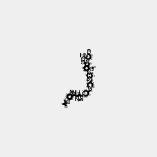 COc1c(N2CCN(CC3(F)CCN(CC4CCN(c5cc(-c6[nH]nc7ccc(OC8(C)CC8)cc67)ncn5)CC4)CC3)CC2)ccc2c1CN(C1CCC(=O)NC1=O)C2=O